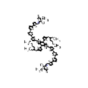 CCCCC(CC)Cc1ccc(-c2c3nc(-c4ccc(-c5ccc(-c6ccc(-c7ccc(/C=C8\SC(=S)N(C)C8=O)s7)s6)s5)s4)sc3c(-c3ccc(CC(CC)CCCC)s3)c3nc(-c4ccc(-c5ccc(-c6ccc(-c7ccc(/C=C8\SC(=S)N(C)C8=O)s7)s6)s5)s4)sc23)s1